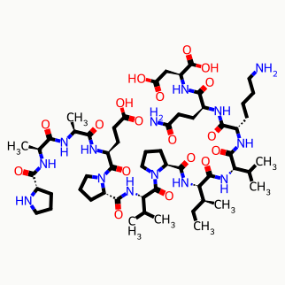 CC[C@H](C)[C@H](NC(=O)[C@@H]1CCCN1C(=O)[C@@H](NC(=O)[C@@H]1CCCN1C(=O)[C@H](CCC(=O)O)NC(=O)[C@H](C)NC(=O)[C@H](C)NC(=O)[C@@H]1CCCN1)C(C)C)C(=O)N[C@H](C(=O)N[C@@H](CCCCN)C(=O)N[C@@H](CCC(N)=O)C(=O)N[C@@H](CC(=O)O)C(=O)O)C(C)C